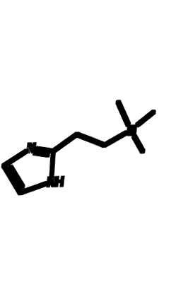 C[Si](C)(C)CCc1ncc[nH]1